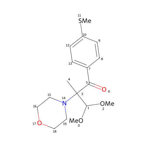 COC(OC)C(C)(C(=O)c1ccc(SC)cc1)N1CCOCC1